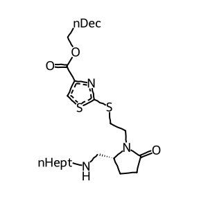 CCCCCCCCCCCOC(=O)c1csc(SCCN2C(=O)CC[C@@H]2CNCCCCCCC)n1